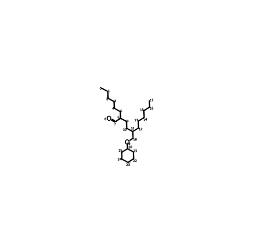 CCCCCCC([C]=O)CCC(CCCCCC)COC1CC[CH]CC1